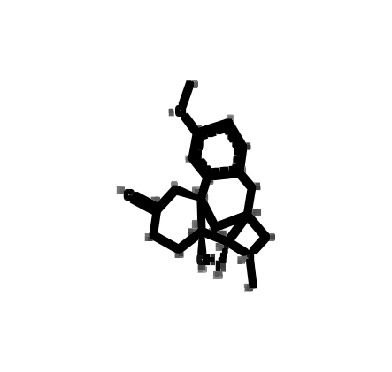 COc1ccc2c(c1)[C@@]13CC(=O)CC[C@@]1(O)[C@@H]1N(C)CC1(C2)C3